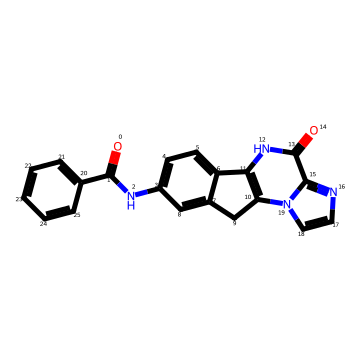 O=C(Nc1ccc2c(c1)Cc1c-2[nH]c(=O)c2nccn12)c1ccccc1